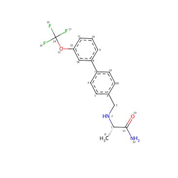 C[C@H](NCc1ccc(-c2cccc(OC(F)(F)F)c2)cc1)C(N)=O